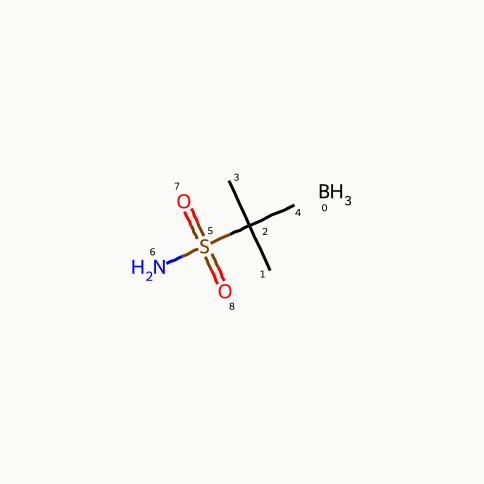 B.CC(C)(C)S(N)(=O)=O